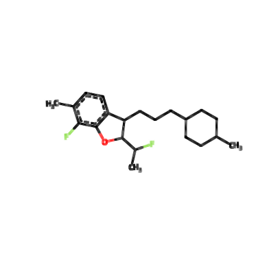 Cc1ccc2c(c1F)OC(C(C)F)C2CCCC1CCC(C)CC1